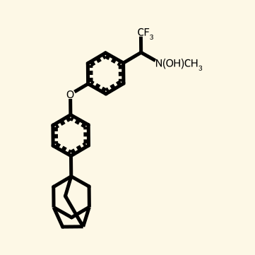 CN(O)C(c1ccc(Oc2ccc(C34CC5CC(C3)C(C5)C4)cc2)cc1)C(F)(F)F